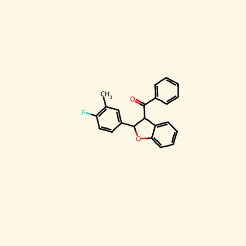 Cc1cc(C2Oc3ccccc3C2C(=O)c2ccccc2)ccc1F